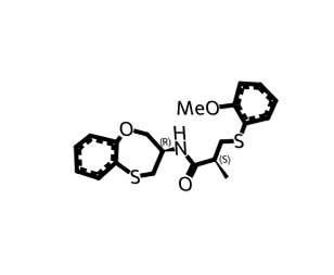 COc1ccccc1SC[C@@H](C)C(=O)N[C@@H]1COc2ccccc2SC1